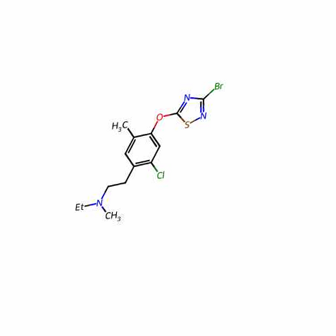 CCN(C)CCc1cc(C)c(Oc2nc(Br)ns2)cc1Cl